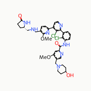 COc1cc(C(=O)Nc2cccc(-c3nccc(-c4ccc(CNC[C@@H]5CCC(=O)N5)c(OC)n4)c3Cl)c2Cl)ncc1CN1CCC(O)CC1